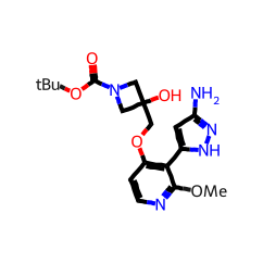 COc1nccc(OCC2(O)CN(C(=O)OC(C)(C)C)C2)c1-c1cc(N)n[nH]1